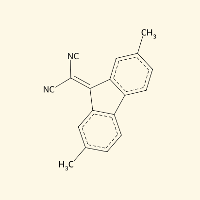 [C-]#[N+]C(C#N)=C1c2cc(C)ccc2-c2ccc(C)cc21